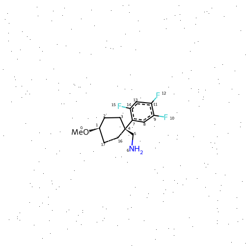 CO[C@H]1CC[C@](CN)(c2cc(F)c(F)cc2F)CC1